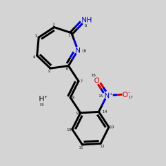 N=c1ccccc(C=Cc2ccccc2[N+](=O)[O-])n1.[H+]